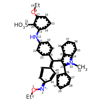 CCO[N+]=C1C=CC(=C(c2ccc(Nc3cccc(OCC)c3S(=O)(=O)O)cc2)c2c(-c3ccccc3)n(C)c3ccccc23)C=C1